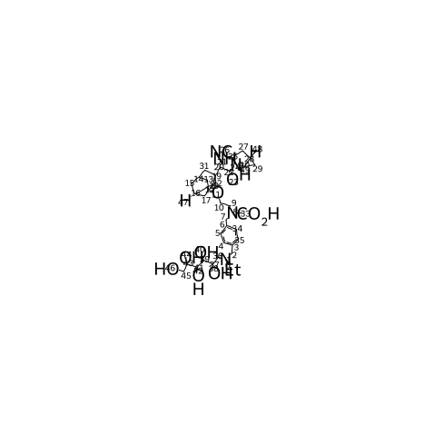 CCN(Cc1ccc(CN(CCOC23CC4C[C@H](C2)CC([C@H](N)C(=O)N2[C@H](C#N)C[C@@H]5C[C@@H]52)(C4)C3)C(=O)O)cc1)C[C@H](O)[C@@H](O)[C@H](O)[C@H](O)CO